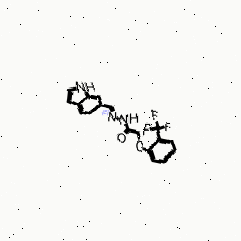 O=C(COc1ccccc1C(F)(F)F)N/N=C/c1ccc2cc[nH]c2c1